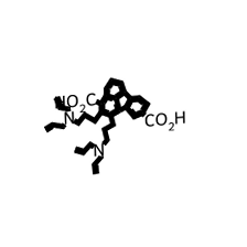 C=CCN(CC=C)CCCc1c(CCCN(CC=C)CC=C)c2c3c(cccc3c1C(=O)O)-c1ccc(C(=O)O)cc1-2